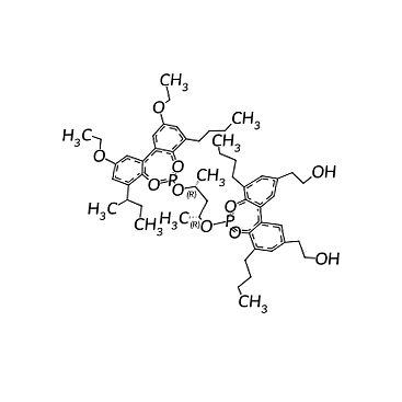 CCCCc1cc(CCO)cc2c1op(O[C@H](C)C[C@@H](C)Op1oc3c(CCCC)cc(OCC)cc3c3cc(OCC)cc(C(C)CC)c3o1)oc1c(CCCC)cc(CCO)cc12